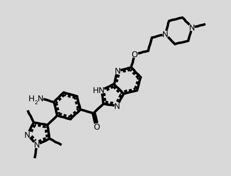 Cc1nn(C)c(C)c1-c1cc(C(=O)c2nc3ccc(OCCN4CCN(C)CC4)nc3[nH]2)ccc1N